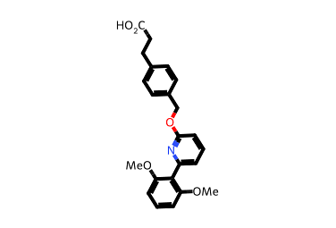 COc1cccc(OC)c1-c1cccc(OCc2ccc(CCC(=O)O)cc2)n1